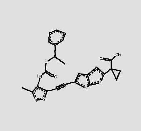 Cc1nsc(C#Cc2cc3cc(C4(C(=O)O)CC4)sc3s2)c1NC(=O)OC(C)c1ccccc1